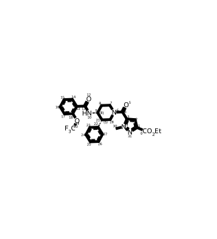 CCOC(=O)c1cc(C(=O)N2CC[C@@H](NC(=O)c3ccccc3OC(F)(F)F)[C@@H](c3ccccc3)C2)n(C)n1